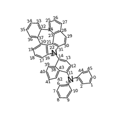 c1ccc(N(c2ccccc2)c2ccc(-n3c4cccc5c4c4c6c(cccc6ccc43)-c3ccccc3-5)c3ccccc23)cc1